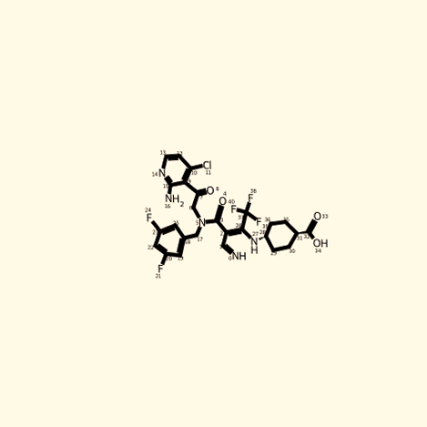 N=C/C(C(=O)N(CC(=O)c1c(Cl)ccnc1N)Cc1cc(F)cc(F)c1)=C(\N[C@H]1CC[C@H](C(=O)O)CC1)C(F)(F)F